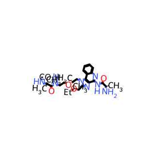 CCOCc1nc2c(NC(=O)[C@H](C)N)nc3ccccc3c2n1CC(C)(C)OCCNC(=O)C(C)(C)NC(=O)O